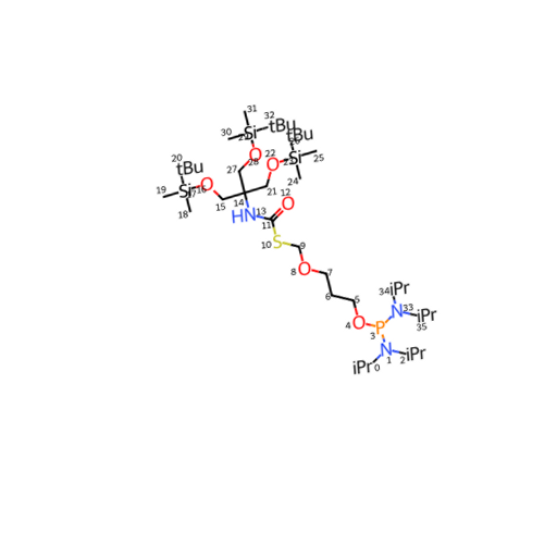 CC(C)N(C(C)C)P(OCCCOCSC(=O)NC(CO[Si](C)(C)C(C)(C)C)(CO[Si](C)(C)C(C)(C)C)CO[Si](C)(C)C(C)(C)C)N(C(C)C)C(C)C